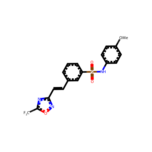 COc1ccc(NS(=O)(=O)c2cccc(/C=C/c3noc(C(F)(F)F)n3)c2)cc1